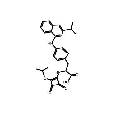 CC(C)Oc1c(NC(Cc2ccc(Nc3nc(C(C)C)cc4ccccc34)cc2)C(=O)O)c(=O)c1=O